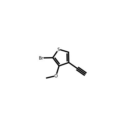 C#Cc1csc(Br)c1OC